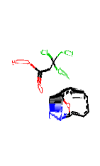 O=C(O)C(Cl)(Cl)Cl.c1cc2nc(c1)O2